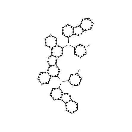 Cc1cccc(N(c2cc3c4cc(N(c5cccc(C)c5)c5cccc6c5oc5ccccc56)c5ccccc5c4oc3c3ccccc23)c2cccc3c2oc2ccccc23)c1